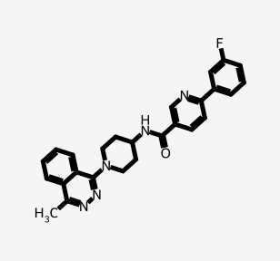 Cc1nnc(N2CCC(NC(=O)c3ccc(-c4cccc(F)c4)nc3)CC2)c2ccccc12